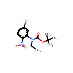 [CH2]CN(C(=O)OC(C)(C)C)c1cc(Cl)ccc1[N+](=O)[O-]